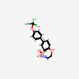 O=S1(=O)NCCOc2ccc(-c3ccc(OC(F)(F)F)cc3)cc21